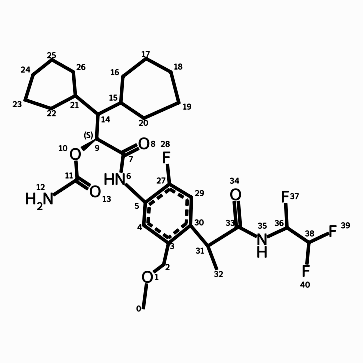 COCc1cc(NC(=O)[C@@H](OC(N)=O)C(C2CCCCC2)C2CCCCC2)c(F)cc1C(C)C(=O)NC(F)C(F)F